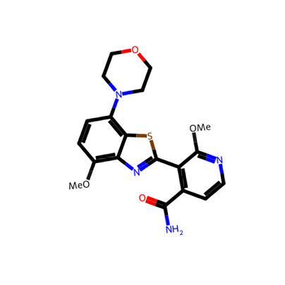 COc1nccc(C(N)=O)c1-c1nc2c(OC)ccc(N3CCOCC3)c2s1